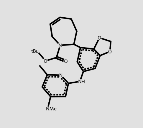 CNc1cc(C)nc(Nc2cc3c(c(C4CCC=CCN4C(=O)OC(C)(C)C)c2)OCO3)c1